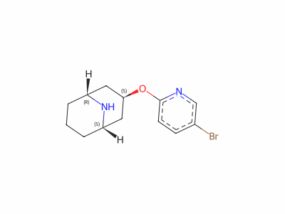 Brc1ccc(O[C@@H]2C[C@H]3CCC[C@@H](C2)N3)nc1